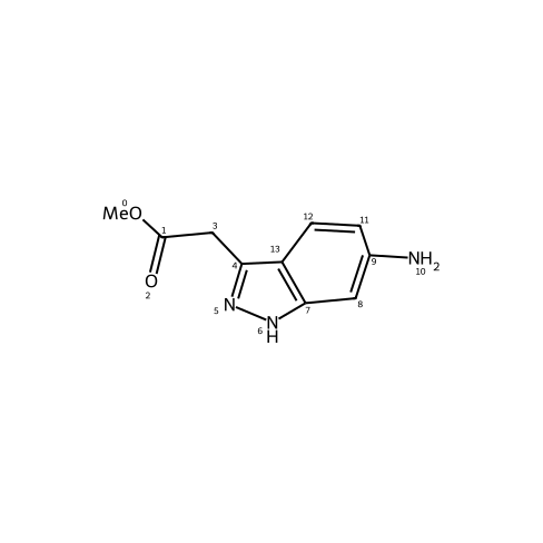 COC(=O)Cc1n[nH]c2cc(N)ccc12